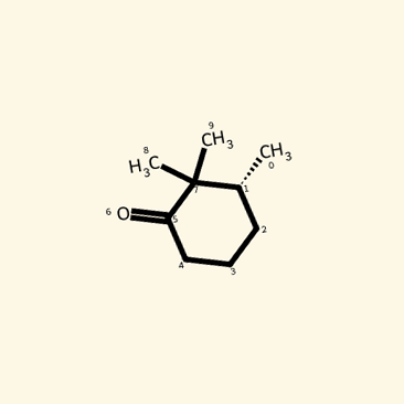 C[C@@H]1CCCC(=O)C1(C)C